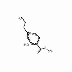 CC(C)(C)OC(=O)c1ccc(CCN)cc1.Cl